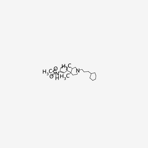 CC1CN(CCCC2CCCCC2)CCC1(C)c1cccc(NS(C)(=O)=O)c1